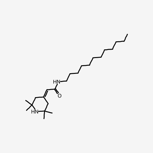 CCCCCCCCCCCCNC(=O)C=C1CC(C)(C)NC(C)(C)C1